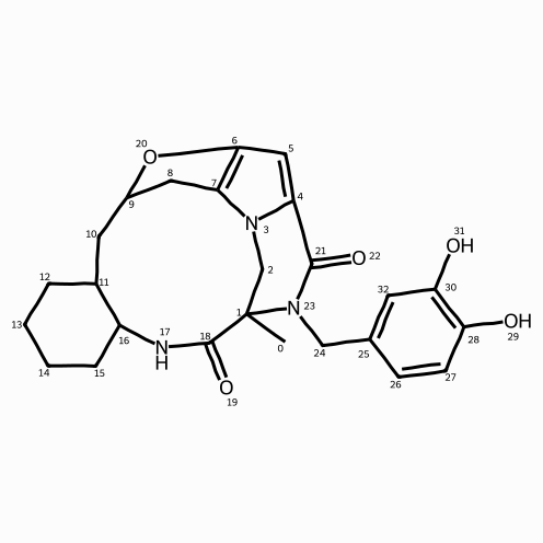 CC12Cn3c(cc4c3CC(CC3CCCCC3NC1=O)O4)C(=O)N2Cc1ccc(O)c(O)c1